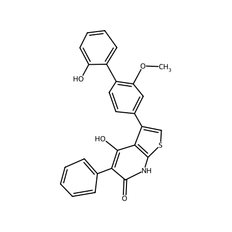 COc1cc(-c2csc3[nH]c(=O)c(-c4ccccc4)c(O)c23)ccc1-c1ccccc1O